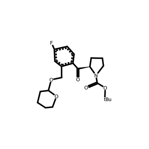 CC(C)(C)OC(=O)N1CCC[C@@H]1C(=O)c1ccc(F)cc1COC1CCCCO1